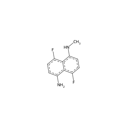 CNc1ccc(F)c2c(N)ccc(F)c12